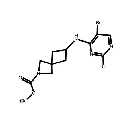 CC(C)(C)OC(=O)N1CC2(CC(Nc3nc(Cl)ncc3Br)C2)C1